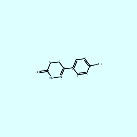 O=C1CCC(c2ccc(F)cc2)=NN1